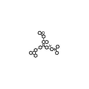 CC1(C)c2cc(N(c3ccccc3)c3ccccc3)ccc2-c2ccc(N(c3ccc(-c4ccc5c6ccccc6c6ccccc6c5c4)cc3)c3ccc(-c4ccc5oc6ccccc6c5c4)c4ccccc34)cc21